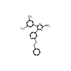 Cc1cc(C)cc(-c2nc(N)sc2-c2ccnc(OCc3ccccc3)c2)c1